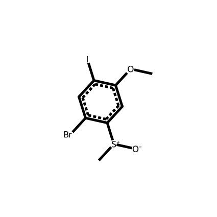 COc1cc([S+](C)[O-])c(Br)cc1I